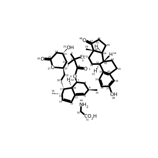 CCC(C)(C)C(=O)O[C@H]1C[C@@H](C)C=C2C=C[C@H](C)[C@H](CC[C@@H]3C[C@@H](O)CC(=O)O3)[C@H]21.C[C@]12CC[C@@H]3c4ccc(O)cc4CC[C@H]3[C@@H]1CCC2=O.NCC(=O)O